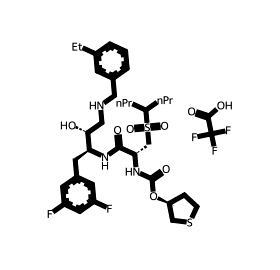 CCCC(CCC)S(=O)(=O)C[C@H](NC(=O)O[C@H]1CCSC1)C(=O)N[C@@H](Cc1cc(F)cc(F)c1)[C@H](O)CNCc1cccc(CC)c1.O=C(O)C(F)(F)F